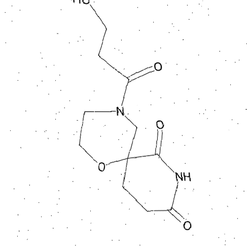 O=C1CCC2(CN(C(=O)CCO)CCO2)C(=O)N1